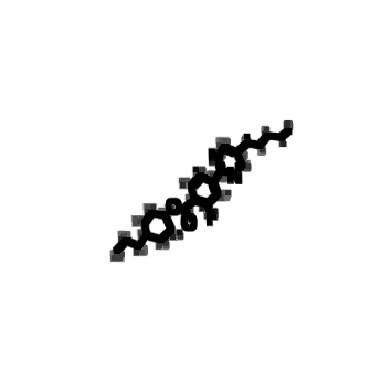 CCCCCc1cnc(-c2ccc(C(=O)O[C@H]3CC[C@H](CCC)CC3)c(F)c2)nc1